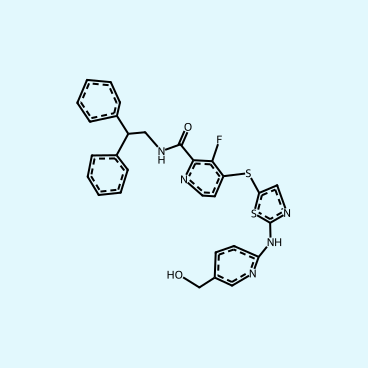 O=C(NCC(c1ccccc1)c1ccccc1)c1nccc(Sc2cnc(Nc3ccc(CO)cn3)s2)c1F